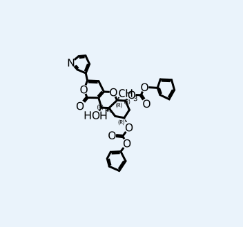 C[C@@]12Oc3cc(-c4cccnc4)oc(=O)c3[C@H](O)[C@H]1C[C@@H](OC(=O)Oc1ccccc1)C[C@H]2OC(=O)Oc1ccccc1